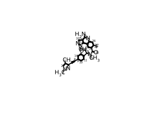 Cc1cn(C)nc1C#Cc1ccc2c(c1)OCC2N(C)C(=O)c1cc2c(cc1F)nc(N)c1cnn(C)c12